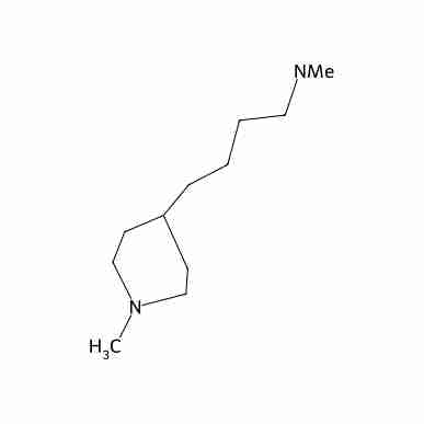 CNCCCCC1CCN(C)CC1